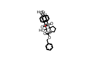 Cc1ccc(S(=O)(=O)C(O)(O)[C@]2(S(=O)(=O)c3ccc(C)cc3)CCCN2C(=O)OCc2ccccc2)cc1